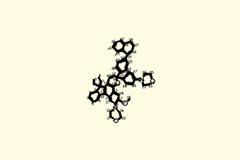 CCC1(CC)c2ccccc2-c2c1c1c(c3cc(OC)c(N4CCOCC4)cc23)OC(c2ccc(-c3cccc4ccccc34)cc2)(c2ccc(N3CCOCC3)cc2)C=C1